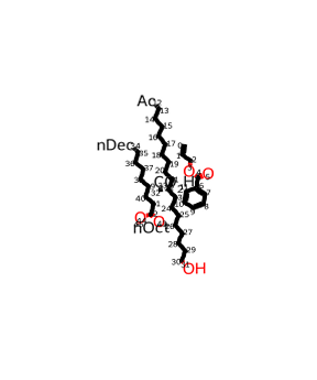 C=CCOC(=O)c1ccccc1.CC(=O)CCCCCCCCCCCCCCCCCCO.CC(=O)O.CCCCCCCCCCCCCCCCCC(=O)OCCCCCCCC